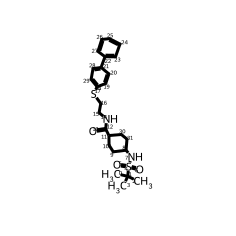 CC(C)(C)S(=O)(=O)NC1CCC(C(=O)NCCSc2ccc(-c3ccccc3)cc2)CC1